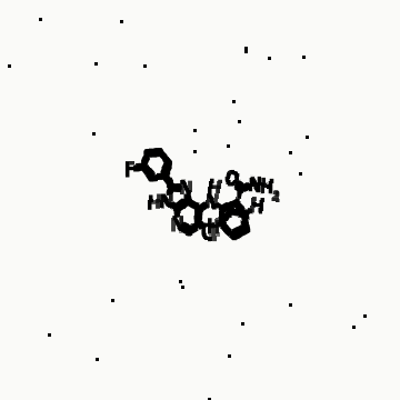 NC(=O)[C@@H]1[C@H](Nc2c(Cl)cnc3[nH]c(-c4cccc(F)c4)nc23)[C@H]2C=C[C@@H]1C2